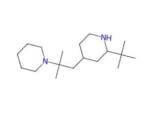 CC(C)(C)C1CC(CC(C)(C)N2CCCCC2)CCN1